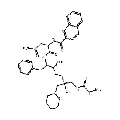 CC(CCC(O)C(Cc1ccccc1)NC(=O)[C@H](CC(N)=O)NC(=O)c1ccc2ccccc2n1)(CNC(=O)NN)CC1CCCCC1